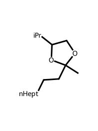 CCCCCCCCCC1(C)OCC(C(C)C)O1